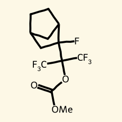 COC(=O)OC(C(F)(F)F)(C(F)(F)F)C1(F)CC2CCC1C2